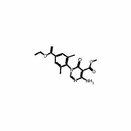 C=C(OCC)c1cc(C)c(-n2cnc(N)c(C(=O)OC)c2=O)c(C)c1